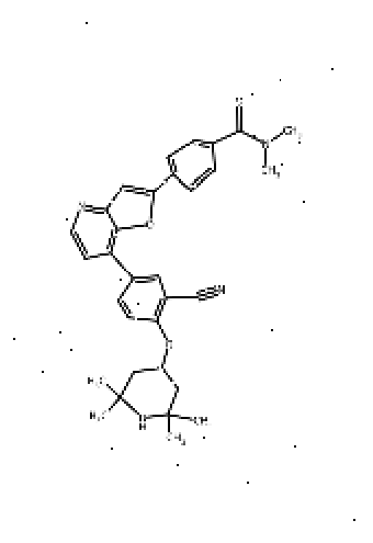 CN(C)C(=O)c1ccc(-c2cc3nccc(-c4ccc(OC5CC(C)(C)NC(C)(C)C5)c(C#N)c4)c3o2)cc1